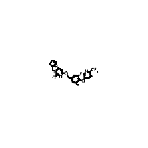 O=c1nc(OCc2cc(F)c(Oc3ccc(C(F)(F)F)nc3)c(F)c2)cc2n1CC13CC(CN21)C3